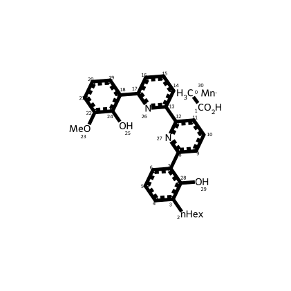 CC(=O)O.CCCCCCc1cccc(-c2cccc(-c3cccc(-c4cccc(OC)c4O)n3)n2)c1O.[Mn]